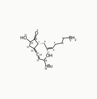 BCCC/C=C\C[C@H]1C(=O)C(O)CC1=C=CC(O)CCCC